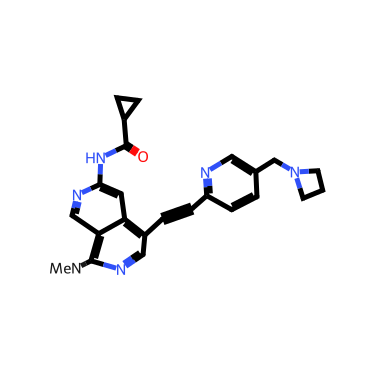 CNc1ncc(C#Cc2ccc(CN3CCC3)cn2)c2cc(NC(=O)C3CC3)ncc12